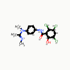 CN=C(C)N(C)c1ccc(NC(=O)c2c(O)c(Cl)cc(Cl)c2Cl)cc1